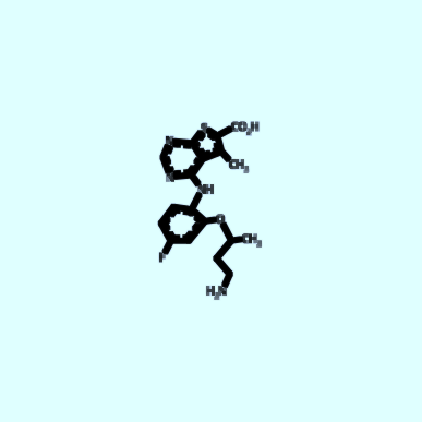 Cc1c(C(=O)O)sc2ncnc(Nc3ccc(F)cc3OC(C)CCN)c12